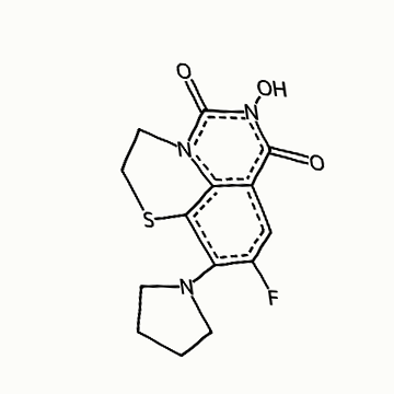 O=c1c2cc(F)c(N3CCCC3)c3c2n(c(=O)n1O)CCS3